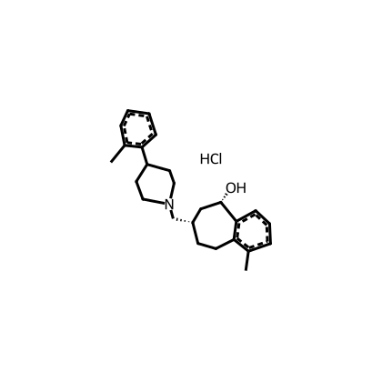 Cc1ccccc1C1CCN(C[C@H]2CCc3c(C)cccc3[C@@H](O)C2)CC1.Cl